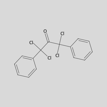 O=C(C(Cl)(Cl)c1ccccc1)C(Cl)(Cl)c1ccccc1